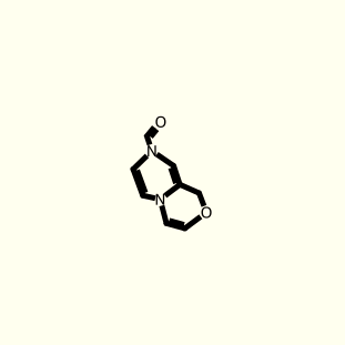 O=CN1C=CN2C=COCC2=C1